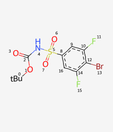 CC(C)(C)OC(=O)NS(=O)(=O)c1cc(F)c(Br)c(F)c1